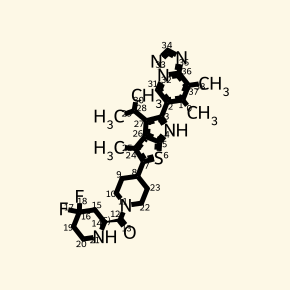 Cc1c(-c2[nH]c3sc(C4CCN(C(=O)[C@@H]5CC(F)(F)CCN5)CC4)c(C)c3c2C(C)C)cn2ncnc2c1C